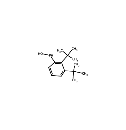 CC(C)(C)c1cccc(PO)c1C(C)(C)C